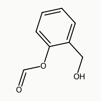 O=COc1ccccc1CO